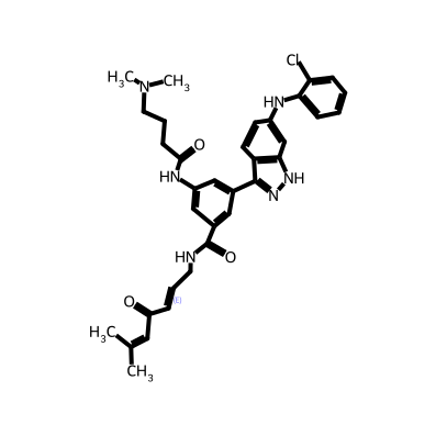 CC(C)=CC(=O)/C=C/CNC(=O)c1cc(NC(=O)CCCN(C)C)cc(-c2n[nH]c3cc(Nc4ccccc4Cl)ccc23)c1